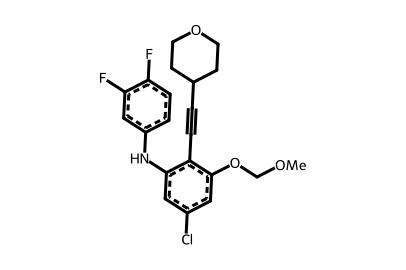 COCOc1cc(Cl)cc(Nc2ccc(F)c(F)c2)c1C#CC1CCOCC1